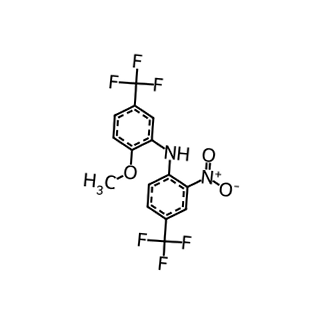 COc1ccc(C(F)(F)F)cc1Nc1ccc(C(F)(F)F)cc1[N+](=O)[O-]